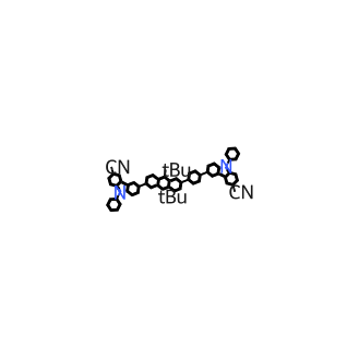 CC(C)(C)c1c2ccc(-c3ccc4c(c3)c3cc(C#N)ccc3n4-c3ccccc3)cc2c(C(C)(C)C)c2ccc(-c3ccc(-c4ccc5c(c4)c4cc(C#N)ccc4n5-c4ccccc4)cc3)cc12